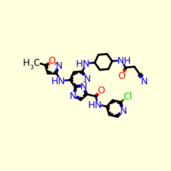 Cc1cc(Nc2cc(NC3CCC(NC(=O)CC#N)CC3)nn3c(C(=O)Nc4ccnc(Cl)c4)cnc23)no1